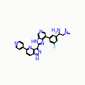 CN(C)CC(N)c1cc(F)cc(-c2cncc3[nH]c(-c4n[nH]c5ccc(-c6ccncc6)nc45)nc23)c1